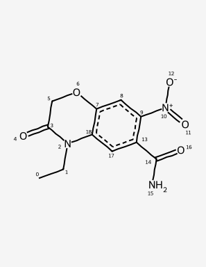 CCN1C(=O)COc2cc([N+](=O)[O-])c(C(N)=O)cc21